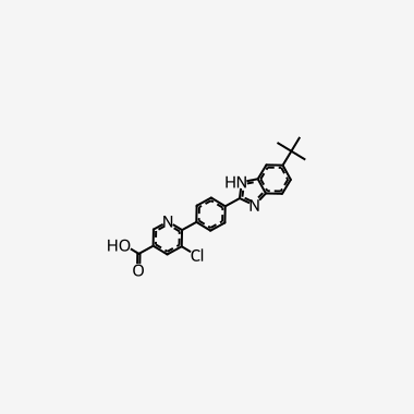 CC(C)(C)c1ccc2nc(-c3ccc(-c4ncc(C(=O)O)cc4Cl)cc3)[nH]c2c1